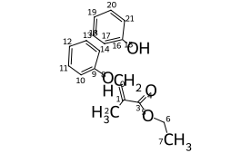 C=C(C)C(=O)OCC.Oc1ccccc1.Oc1ccccc1